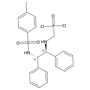 Cc1ccc(S(=O)(=O)N[C@@H](c2ccccc2)[C@@H](NCP(=O)(Cl)Cl)c2ccccc2)cc1